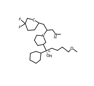 CNCC(CC1CCC(F)(F)CC1)N1CCCC([C@@](O)(CCCCOC)C2CCCCC2)C1